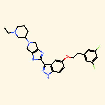 CCN1CCCC(N2Cc3nc(-c4n[nH]c5ccc(OCCc6cc(F)cc(F)c6)cc45)[nH]c3C2)C1